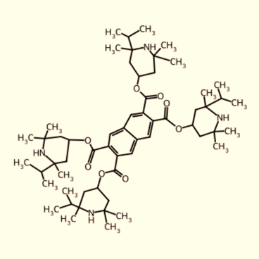 CC(C)C1(C)CC(OC(=O)c2cc3cc(C(=O)OC4CC(C)(C)NC(C)(C(C)C)C4)c(C(=O)OC4CC(C)(C)NC(C)(C(C)C)C4)cc3cc2C(=O)OC2CC(C)(C)NC(C)(C(C)C)C2)CC(C)(C)N1